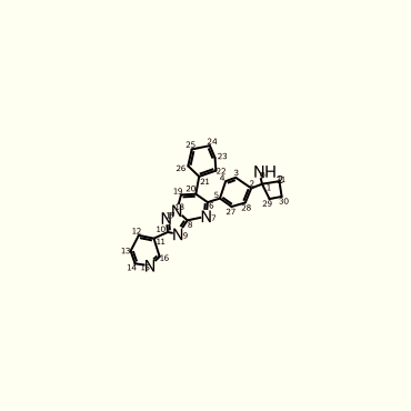 NC1(c2ccc(-c3nc4nc(-c5cccnc5)nn4cc3-c3ccccc3)cc2)CCC1